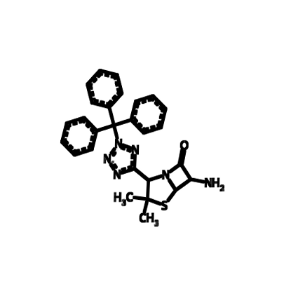 CC1(C)SC2C(N)C(=O)N2C1c1nnn(C(c2ccccc2)(c2ccccc2)c2ccccc2)n1